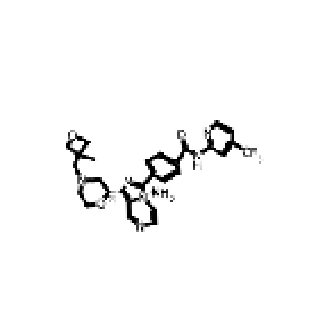 CC1(CN2CCO[C@@H](C3=C4C=NC=C[N+]4(N)C(c4ccc(C(=O)Nc5cc(C(F)(F)F)ccn5)cc4)=N3)C2)COC1